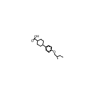 CCC(C)COc1ccc(C2CCC(C(=O)O)CC2)cc1